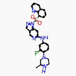 CC1CN(c2ccc(Nc3cc4c(cn3)cnn4S(=O)(=O)c3cccc4cccnc34)cc2F)CCN1